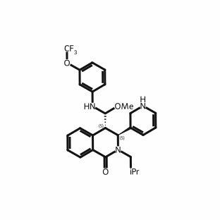 COC(Nc1cccc(OC(F)(F)F)c1)[C@H]1c2ccccc2C(=O)N(CC(C)C)[C@@H]1C1=CC=CNC1